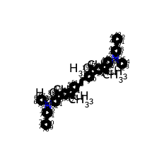 CC1(C)c2cc(/C=C/c3ccc4c(c3)C(C)(C)c3cc5c(cc3-4)C(C)(C)c3cc(N(c4ccccc4)c4ccc(-c6ccccc6)cc4)ccc3-5)ccc2-c2cc3c(cc21)-c1ccc(N(c2ccccc2)c2ccc(-c4ccccc4)cc2)cc1C3(C)C